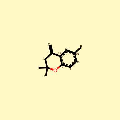 C=C1CC(C)(C)Oc2ccc(C)cc21